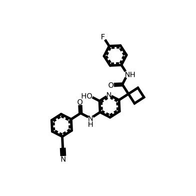 N#Cc1cccc(C(=O)Nc2ccc(C3(C(=O)Nc4ccc(F)cc4)CCC3)nc2O)c1